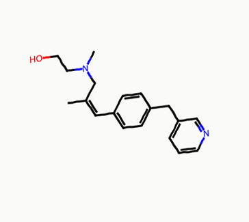 CC(=Cc1ccc(Cc2cccnc2)cc1)CN(C)CCO